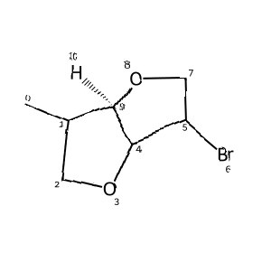 CC1COC2C(Br)CO[C@H]12